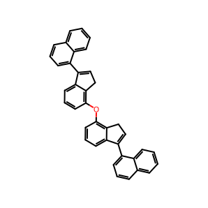 C1=C(c2cccc3ccccc23)c2cccc(Oc3cccc4c3CC=C4c3cccc4ccccc34)c2C1